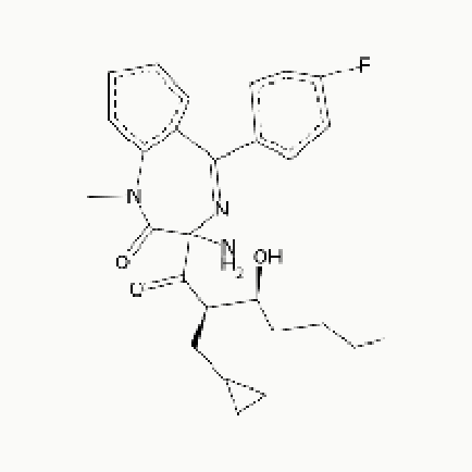 CCCC[C@H](O)[C@@H](CC1CC1)C(=O)C1(N)N=C(c2ccc(F)cc2)c2ccccc2N(C)C1=O